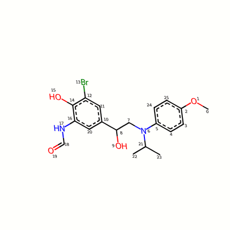 COc1ccc(N(CC(O)c2cc(Br)c(O)c(NC=O)c2)C(C)C)cc1